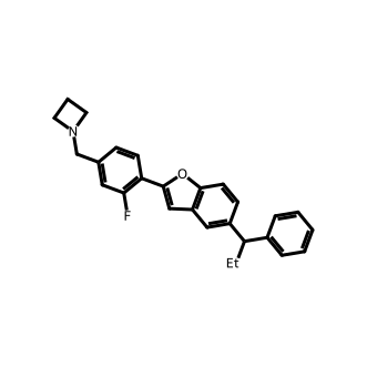 CCC(c1ccccc1)c1ccc2oc(-c3ccc(CN4CCC4)cc3F)cc2c1